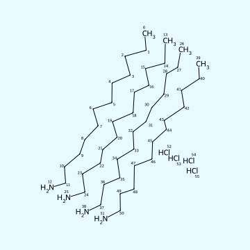 CCCCCCCCCCCCN.CCCCCCCCCCCCN.CCCCCCCCCCCCN.CCCCCCCCCCCCN.Cl.Cl.Cl.Cl